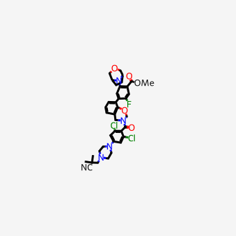 COC(=O)c1cc(F)c(-c2cccc3c2OCN(C(=O)c2c(Cl)cc(N4CCN(CC(C)(C)C#N)CC4)cc2Cl)C3)cc1N1C2CCC1COC2